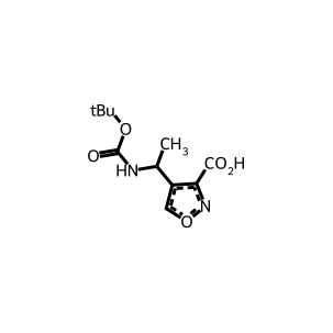 CC(NC(=O)OC(C)(C)C)c1conc1C(=O)O